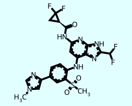 Cn1cnc(-c2ccc(Nc3cc(NC(=O)[C@H]4CC4(F)F)nc4[nH]c(C(F)F)nc34)c(S(C)(=O)=O)c2)c1